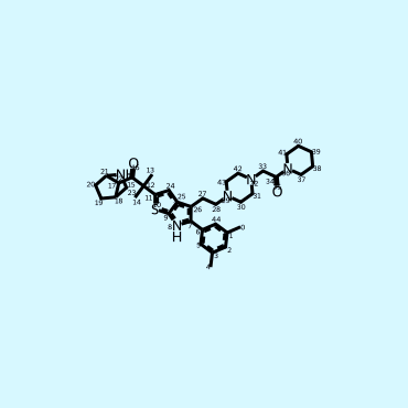 Cc1cc(C)cc(-c2[nH]c3sc(C(C)(C)C(=O)C4C5CCC4NC5)cc3c2CCN2CCN(CC(=O)N3CCCCC3)CC2)c1